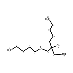 CCCCCOCC(O)(CO)CCCCC